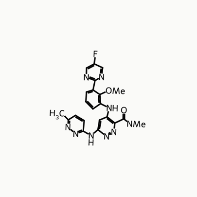 CNC(=O)c1nnc(Nc2ccc(C)nn2)cc1Nc1cccc(-c2ncc(F)cn2)c1OC